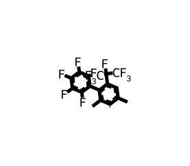 Cc1[c]c(C)c(-c2c(F)c(F)c(F)c(F)c2F)c(C(F)(C(F)(F)F)C(F)(F)F)c1